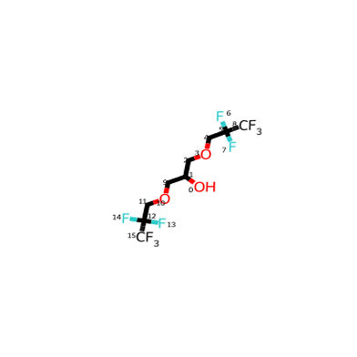 OC(COCC(F)(F)C(F)(F)F)COCC(F)(F)C(F)(F)F